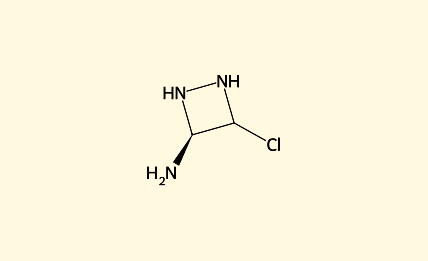 N[C@H]1NNC1Cl